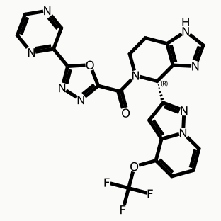 O=C(c1nnc(-c2cnccn2)o1)N1CCc2[nH]cnc2[C@@H]1c1cc2c(OC(F)(F)F)cccn2n1